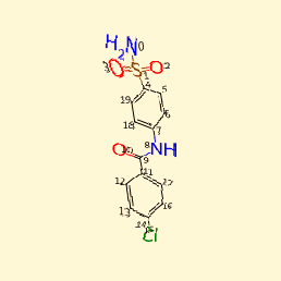 NS(=O)(=O)c1ccc(NC(=O)c2ccc(Cl)cc2)cc1